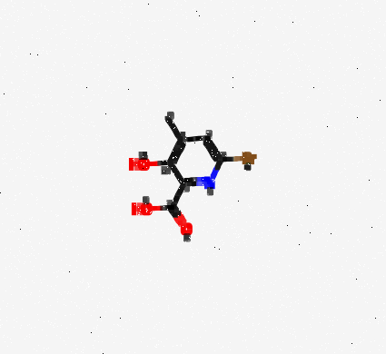 Cc1cc(Br)nc(C(=O)O)c1O